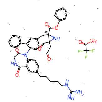 N=C(N)NCCCCCc1ccc2c(c1)C(=O)NCC(=O)N2c1ccc(C[C@@]2(C(=O)Oc3ccccc3)NC2(C=O)CC=O)cc1-c1ccccc1.O=C(O)C(F)(F)F